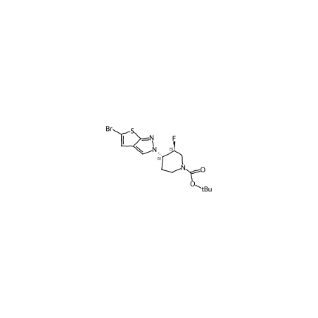 CC(C)(C)OC(=O)N1CC[C@H](n2cc3cc(Br)sc3n2)[C@@H](F)C1